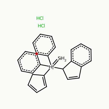 Cl.Cl.[SiH2]=[Hf]([C]1=CC=CC1)([c]1ccccc1)([c]1ccccc1)[CH]1C=Cc2ccccc21